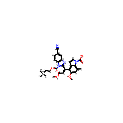 COC(=O)C=C(c1c(OC)cc(C)c2c1ccn2C(=O)O)c1nc2cc(C#N)ccc2n1COCC[Si](C)(C)C